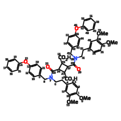 COc1ccc(CCN(Cc2ccc(Oc3ccccc3)cc2)C(=O)C2C(C(=O)O)C(C(=O)N(CCc3ccc(OC)c(OC)c3)Cc3ccc(Oc4ccccc4)cc3)C2C(=O)O)cc1OC